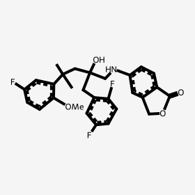 COc1ccc(F)cc1C(C)(C)CC(O)(CNc1ccc2c(c1)COC2=O)Cc1cc(F)ccc1F